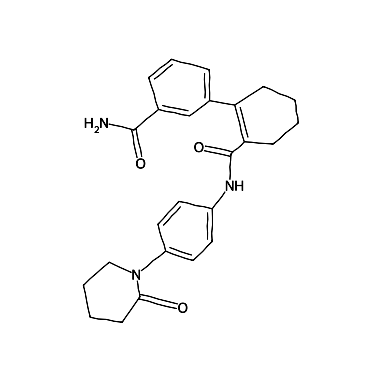 NC(=O)c1cccc(C2=C(C(=O)Nc3ccc(N4CCCCC4=O)cc3)CCCC2)c1